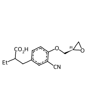 CCC(Cc1ccc(OC[C@H]2CO2)c(C#N)c1)C(=O)O